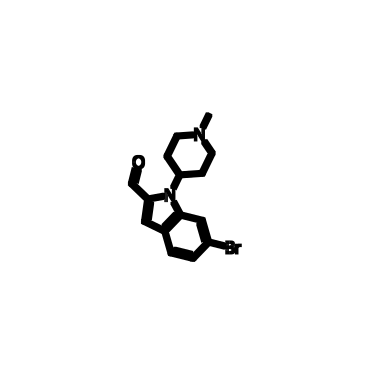 CN1CCC(n2c(C=O)cc3ccc(Br)cc32)CC1